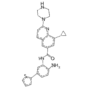 Nc1ccc(-c2cccs2)cc1NC(=O)c1cc(C2CC2)c2nc(N3CCNCC3)ccc2c1